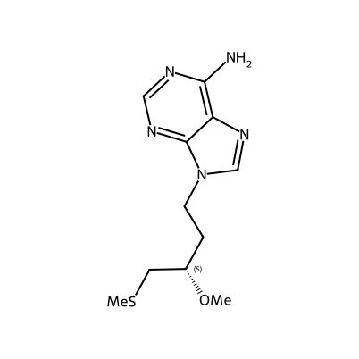 CO[C@@H](CCn1cnc2c(N)ncnc21)CSC